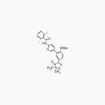 COc1ccc(C2=NOC(C)(C)C2=O)cc1-c1ccc(NC(=O)c2c(F)cccc2F)nc1